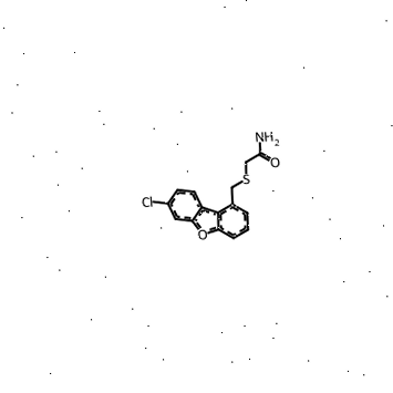 NC(=O)CSCc1cccc2oc3cc(Cl)ccc3c12